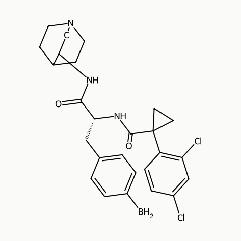 Bc1ccc(C[C@@H](NC(=O)C2(c3ccc(Cl)cc3Cl)CC2)C(=O)NC2CN3CCC2CC3)cc1